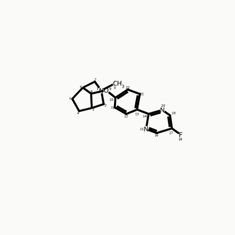 CN1CC2CCC(C1)C2Oc1ccc(-c2ncc(F)cn2)cc1